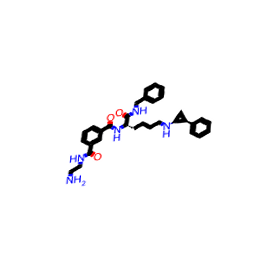 NCCNC(=O)c1cccc(C(=O)N[C@@H](CCCCN[C@@H]2C[C@H]2c2ccccc2)C(=O)NCc2ccccc2)c1